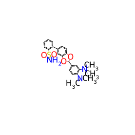 CN(C)c1ccc(C2Oc3ccc(-c4ccccc4S(N)(=O)=O)cc3O2)cc1N(C)C